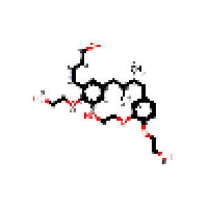 C[C@H](Cc1ccc(OCCO)c(OCCO)c1)[C@@H](C)Cc1ccc(OCCO)c(/C=C\CCO)c1